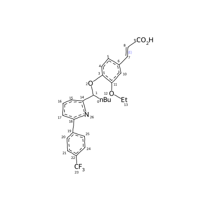 CCCCC(Oc1ccc(/C=C/C(=O)O)cc1OCC)c1cccc(-c2ccc(C(F)(F)F)cc2)n1